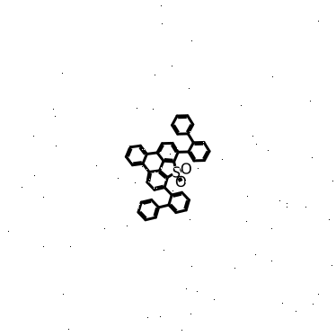 O=S1(=O)c2c(-c3ccccc3-c3ccccc3)ccc3c4ccccc4c4ccc(-c5ccccc5-c5ccccc5)c1c4c23